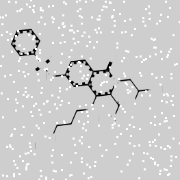 CCCCOc1c(CN)n(CC(C)C)c(=O)c2ccc(NS(=O)(=O)c3ccccc3)cc12.Cl